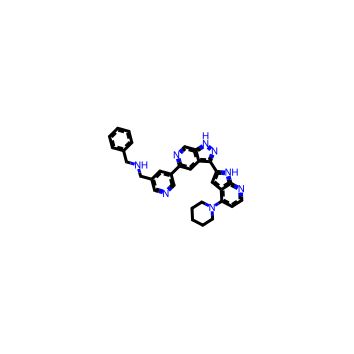 c1ccc(CNCc2cncc(-c3cc4c(-c5cc6c(N7CCCCC7)ccnc6[nH]5)n[nH]c4cn3)c2)cc1